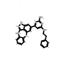 Nc1nc(NCCc2ccccc2)cc(-c2cc3c4c(n[nH]c4c2)Nc2ccccc2O3)n1